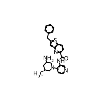 CC1CC(N)CN(c2ccncc2NC(=O)c2ccc3sc(Cc4ccccc4)cc3n2)C1